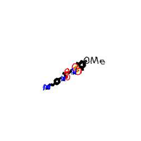 COc1cc(C)c(S(=O)(=O)N(C)CCOC(C)C(=O)N(C)Cc2ccc(CCN(C)C)cc2)c(C)c1